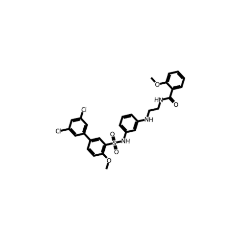 COc1ccccc1C(=O)NCCNc1cccc(NS(=O)(=O)c2cc(-c3cc(Cl)cc(Cl)c3)ccc2OC)c1